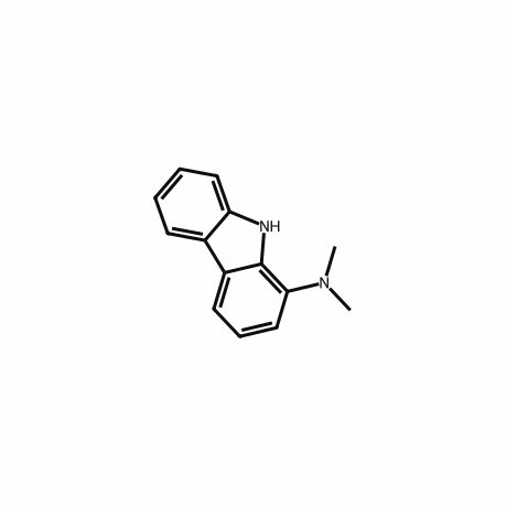 CN(C)c1cccc2c1[nH]c1ccccc12